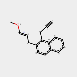 C#CCc1c(C/C=C/OC)ccc2ccccc12